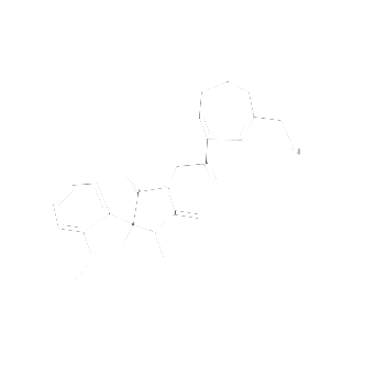 COc1ccccc1C1(C)C(=O)N(CC(=O)C2=CCCCC(CN)=C2)C(=O)N1C